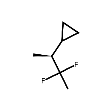 C[C@@H](C1CC1)C(C)(F)F